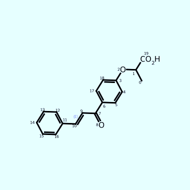 CC(Oc1ccc(C(=O)/C=C/c2ccccc2)cc1)C(=O)O